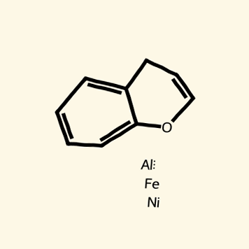 C1=COc2ccccc2C1.[Al].[Fe].[Ni]